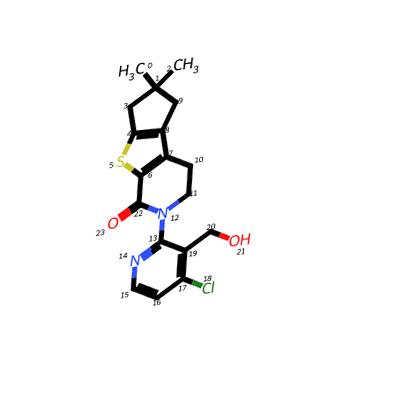 CC1(C)Cc2sc3c(c2C1)CCN(c1nccc(Cl)c1CO)C3=O